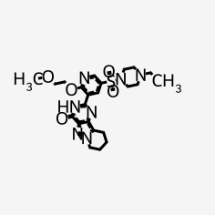 CCN1CCN(S(=O)(=O)c2cnc(OCCOC)c(-c3nc4c5n(nc4c(=O)[nH]3)CCCC5)c2)CC1